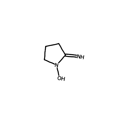 N=C1CCCN1O